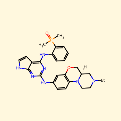 CCN1CCN2c3ccc(Nc4nc(Nc5ccccc5P(C)(C)=O)c5cc[nH]c5n4)cc3OC[C@H]2C1